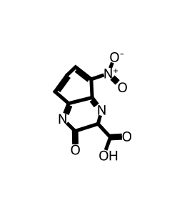 O=C(O)C1N=c2c([N+](=O)[O-])cccc2=NC1=O